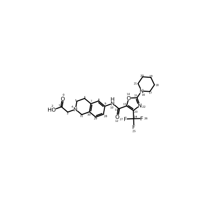 O=C(O)CN1CCc2cc(NC(=O)c3oc(N4CCCCC4)nc3C(F)(F)F)ccc2C1